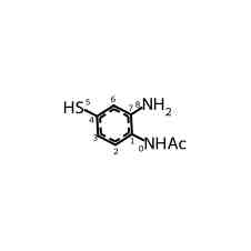 CC(=O)Nc1ccc(S)cc1N